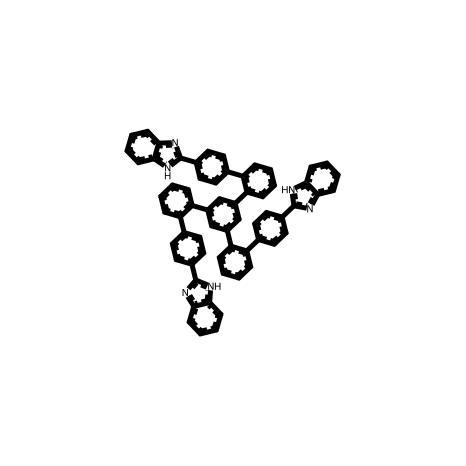 c1ccc(-c2cc(-c3ccccc3-c3ccc(-c4nc5ccccc5[nH]4)cc3)cc(-c3ccccc3-c3ccc(-c4nc5ccccc5[nH]4)cc3)c2)c(-c2ccc(-c3nc4ccccc4[nH]3)cc2)c1